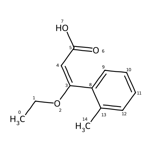 CCO/C(=C/C(=O)O)c1ccccc1C